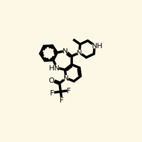 CC1CNCCN1C1=Nc2ccccc2NC2=C1C=CCN2C(=O)C(F)(F)F